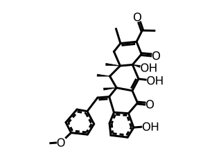 COc1ccc(/C=C2\c3cccc(O)c3C(=O)C3=C(O)[C@@]4(O)C(=O)C(C(C)=O)=C(C)C[C@@]4(C)[C@H](C)[C@]32C)cc1